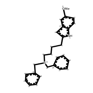 COc1ccc2[nH]c(CCCCN(Cc3ccccc3)Cc3ccccc3)cc2c1